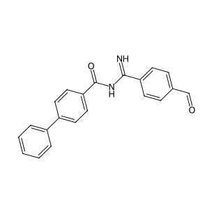 N=C(NC(=O)c1ccc(-c2ccccc2)cc1)c1ccc(C=O)cc1